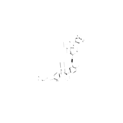 Cc1ccc(C(=O)Nc2ccc(CCCN(C)C)c(F)c2)cc1C#Cc1cnc(Nc2cnn(C)c2)nc1